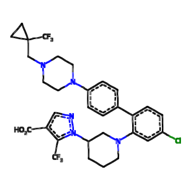 O=C(O)c1cnn(C2CCCN(c3cc(Cl)ccc3-c3ccc(N4CCN(CC5(C(F)(F)F)CC5)CC4)cc3)C2)c1C(F)(F)F